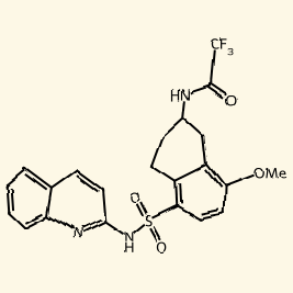 COc1ccc(S(=O)(=O)Nc2ccc3ccccc3n2)c2c1CC(NC(=O)C(F)(F)F)CC2